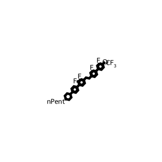 CCCCCC1CCC(c2ccc(-c3ccc(CCc4ccc(-c5ccc(OC(F)(F)F)c(F)c5)c(F)c4)c(F)c3F)cc2)CC1